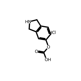 Cl.O=C(O)Oc1ccc2c(c1)CNC2